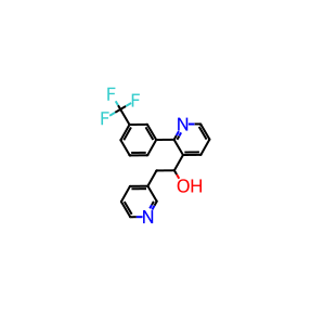 OC(Cc1cccnc1)c1cccnc1-c1cccc(C(F)(F)F)c1